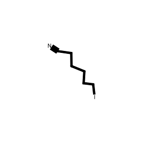 N#CCCCCCI